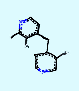 Cc1nccc(Cc2ccncc2C(C)C)c1C(C)C